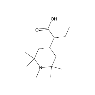 CCC(C(=O)O)C1CC(C)(C)N(C)C(C)(C)C1